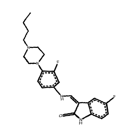 CCCCN1CCN(c2ccc(NC=C3C(=O)Nc4ccc(F)cc43)cc2F)CC1